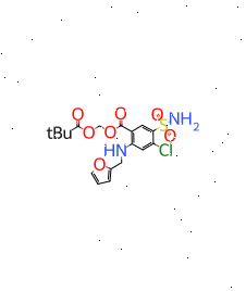 CC(C)(C)C(=O)OCOC(=O)c1cc(S(N)(=O)=O)c(Cl)cc1NCc1ccco1